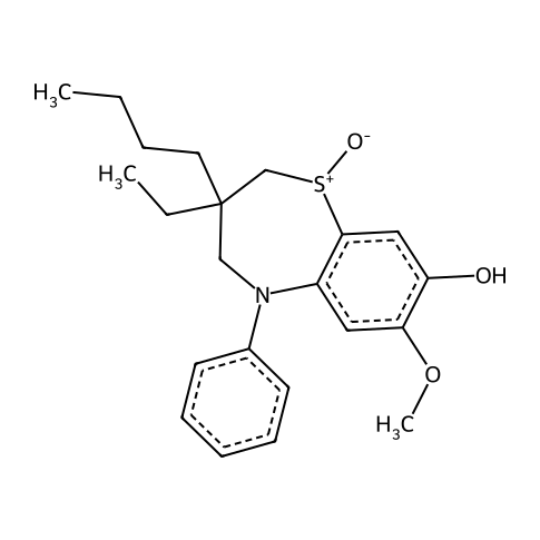 CCCCC1(CC)CN(c2ccccc2)c2cc(OC)c(O)cc2[S+]([O-])C1